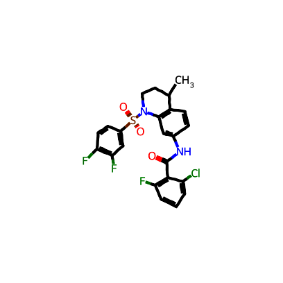 CC1CCN(S(=O)(=O)c2ccc(F)c(F)c2)c2cc(NC(=O)c3c(F)cccc3Cl)ccc21